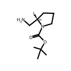 CC(C)(C)OC(=O)N1CCC[C@@]1(I)CN